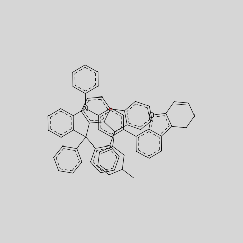 CC1C=CC=C(C23c4ccccc4-c4cccc(c42)C(c2ccccc2)(c2ccccc2N(c2ccccc2)c2ccc(-c4cccc5c6c(oc45)C=CCC6)cc2)c2ccccc23)C1